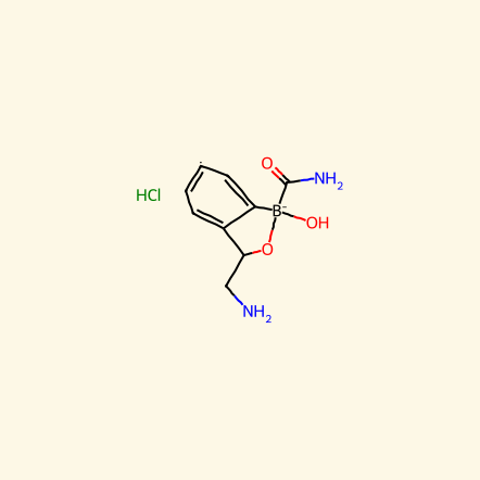 Cl.NCC1O[B-](O)(C(N)=O)c2c[c]ccc21